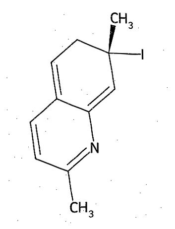 Cc1ccc2c(n1)=C[C@@](C)(I)CC=2